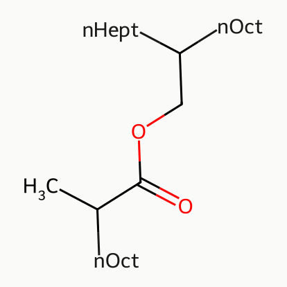 CCCCCCCCC(CCCCCCC)COC(=O)C(C)CCCCCCCC